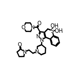 O=C1CCCN1CCN1CCCC(n2nc(C(=O)N3CCOCC3)c3c2-c2ccccc2S(O)(O)C3)C1